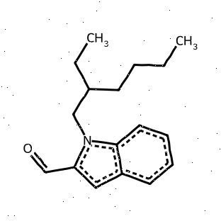 CCCCC(CC)Cn1c(C=O)cc2ccccc21